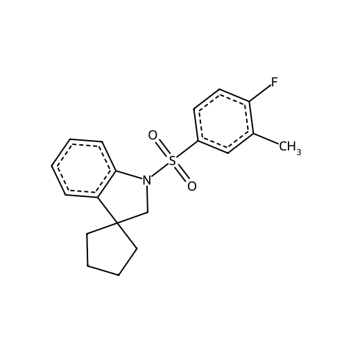 Cc1cc(S(=O)(=O)N2CC3(CCCC3)c3ccccc32)ccc1F